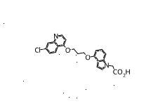 O=C(O)Cn1ccc2c(OCCCOc3ccnc4cc(Cl)ccc34)cccc21